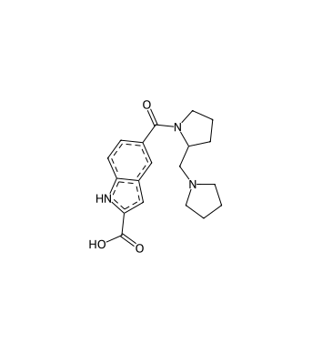 O=C(O)c1cc2cc(C(=O)N3CCCC3CN3CCCC3)ccc2[nH]1